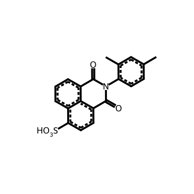 Cc1ccc(N2C(=O)c3cccc4c(S(=O)(=O)O)ccc(c34)C2=O)c(C)c1